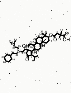 CC(C)C1=C2[C@H]3CC[C@@H]4[C@@]5(C)CC[C@H](OC(=O)CC(C)(C)C(=O)O)C(C)(C)[C@@H]5CC[C@@]4(C)[C@]3(C)CC[C@@]2([C@@H](O)CN(CCC2CCCCC2)CCN(C)C)CC1=O